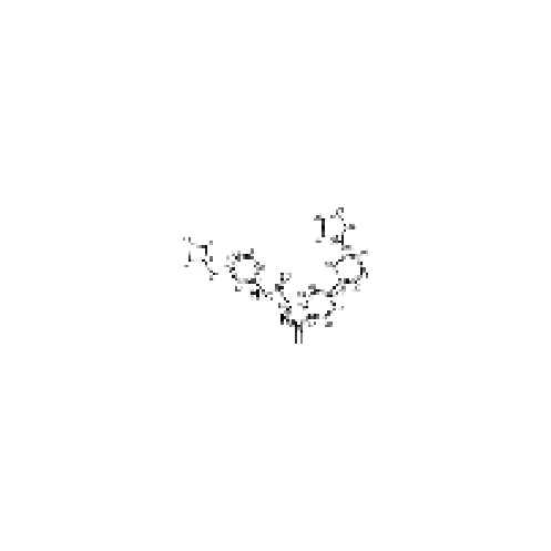 O=C(Nc1ccnc(CN2CCC2)c1)c1n[nH]c2ccc(-c3cncc(N4CCCC4)c3)cc12